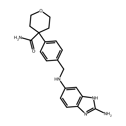 NC(=O)C1(c2ccc(CNc3ccc4nc(N)[nH]c4c3)cc2)CCOCC1